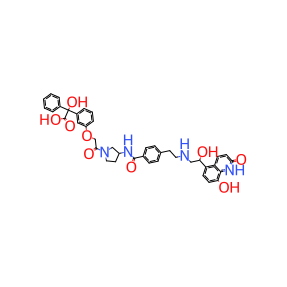 O=C(NC1CCN(C(=O)COc2cccc(C(O)(C(=O)O)c3ccccc3)c2)C1)c1ccc(CCNCC(O)c2ccc(O)c3[nH]c(=O)ccc23)cc1